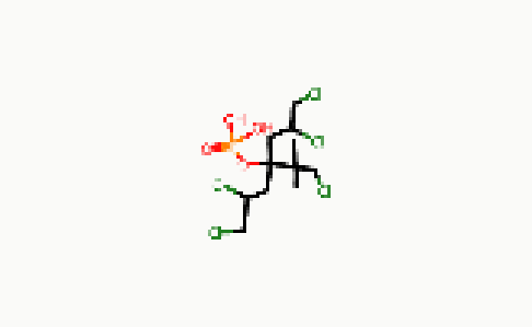 CC(C)(CCl)C(CC(Cl)CCl)(CC(Cl)CCl)OP(=O)(O)O